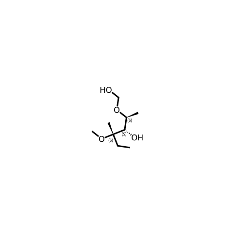 CC[C@](C)(OC)[C@@H](O)[C@H](C)OCO